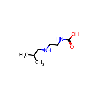 CC(C)CNCCNC(=O)O